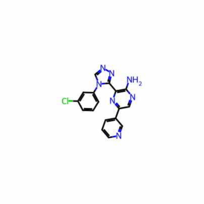 Nc1ncc(-c2cccnc2)nc1-c1nncn1-c1cccc(Cl)c1